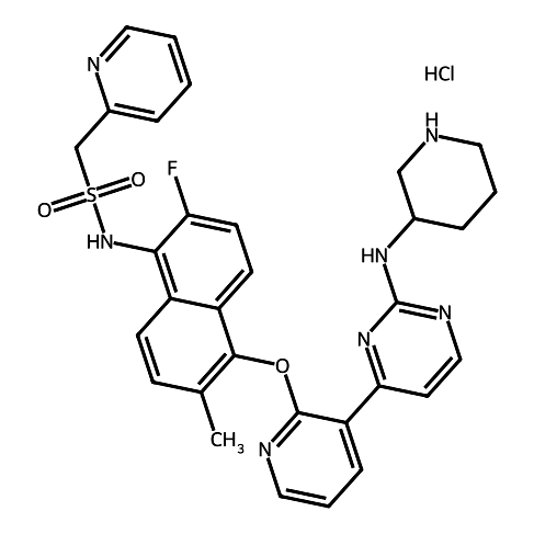 Cc1ccc2c(NS(=O)(=O)Cc3ccccn3)c(F)ccc2c1Oc1ncccc1-c1ccnc(NC2CCCNC2)n1.Cl